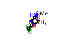 COC(=O)Nc1ccc2c(c1)NC(=O)C(C)CCCC(N1CCC(c3c(F)ccc(Cl)c3F)=CC1=O)c1cc-2ccn1